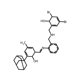 CC1=CC(/C=N/c2ccccc2CNCC2=CC(Br)=CC(Br)C2O)C(O)C(C23CC4CC(CC(C4)C2)C3)=C1